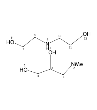 CNCC(O)CO.OCCNCCO